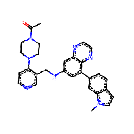 CC(=O)N1CCN(c2ccncc2CNc2cc(-c3ccc4ccn(C)c4c3)c3nccnc3c2)CC1